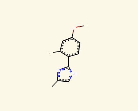 Cc1c[nH]c(-c2ccc(OC(F)(F)F)cc2C#N)n1